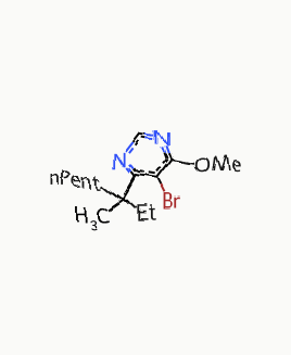 CCCCCC(C)(CC)c1ncnc(OC)c1Br